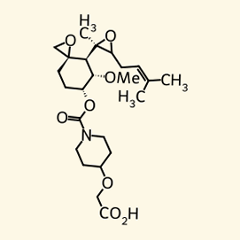 CO[C@@H]1[C@H](OC(=O)N2CCC(OCC(=O)O)CC2)CC[C@]2(CO2)[C@H]1[C@@]1(C)OC1CC=C(C)C